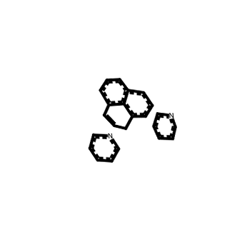 C1=Cc2cccc3cccc(c23)C1.c1ccncc1.c1ccncc1